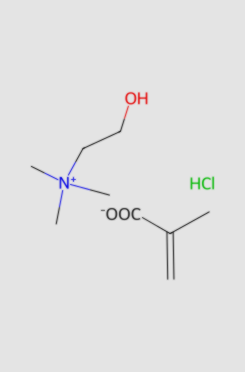 C=C(C)C(=O)[O-].C[N+](C)(C)CCO.Cl